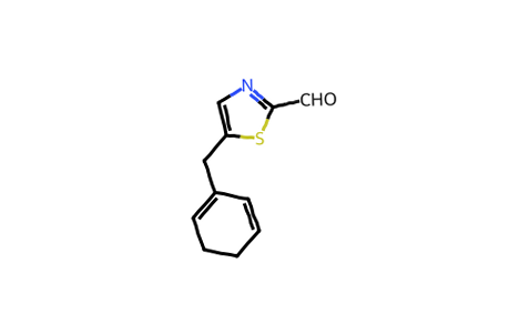 O=Cc1ncc(CC2=CCCC=C2)s1